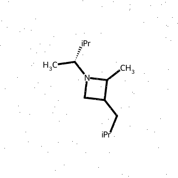 CC(C)CC1CN([C@H](C)C(C)C)C1C